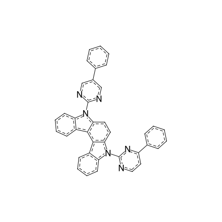 c1ccc(-c2cnc(-n3c4ccccc4c4c5c6ccccc6n(-c6nccc(-c7ccccc7)n6)c5ccc43)nc2)cc1